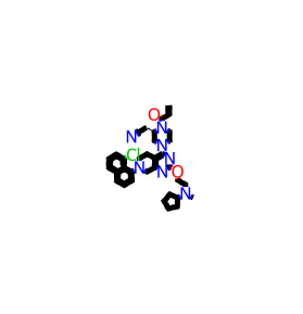 C=CC(=O)N1CCN(c2nc(OCCN(C)C3CCCC3)nc3c2CCN(c2cccc4cccc(Cl)c24)C3)C[C@@H]1CC#N